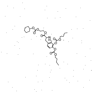 CCCCOC(=O)Oc1ccc(C[C@H](N)C(=O)O[C@@H](C)COC(=O)OC2CCCCC2)cc1OC(=O)OCCCC